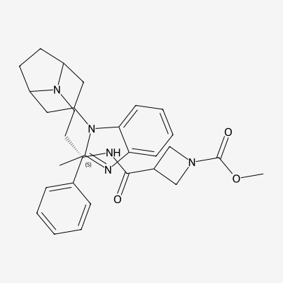 COC(=O)N1CC(C(=O)N[C@@H](CCN2C3CCC2CC(n2c(C)nc4ccccc42)C3)c2ccccc2)C1